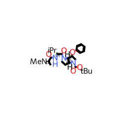 CN[C@@H](C)C(=O)N[C@H](C(=O)N1CC[C@@H]2[C@H]1[C@@H](Oc1ccccc1)CN2C(=O)OC(C)(C)C)C(C)C